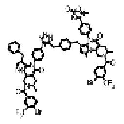 CC1Cc2c(n3ncc(Cc4ccc(Cc5nnnn5-c5ccc(-n6c(=O)c7c(n8ncc(Cc9ccccc9)c68)CN(C(=O)c6ccc(Br)c(C(F)(F)F)c6)C(C)C7)cc5)cc4)c3n(-c3ccc(-c4nc(=O)on4C)cc3)c2=O)CN1C(=O)c1ccc(Br)c(C(F)(F)F)c1